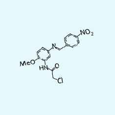 COc1ccc(N=Cc2ccc([N+](=O)[O-])cc2)cc1NC(=O)CCl